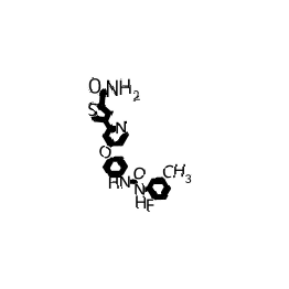 Cc1ccc(F)c(NC(=O)Nc2ccc(Oc3ccnc(-c4csc(C(N)=O)c4)c3)cc2)c1